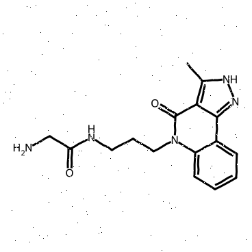 Cc1[nH]nc2c1c(=O)n(CCCNC(=O)CN)c1ccccc21